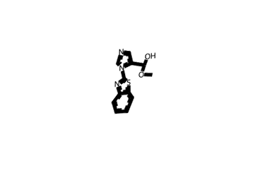 COC(O)c1cncn1-c1nc2ccccc2s1